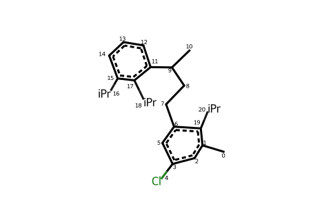 Cc1cc(Cl)cc(CCC(C)c2cccc(C(C)C)c2C(C)C)c1C(C)C